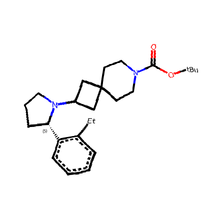 CCc1ccccc1[C@@H]1CCCN1C1CC2(CCN(C(=O)OC(C)(C)C)CC2)C1